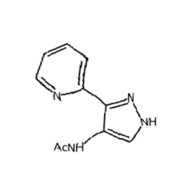 CC(=O)Nc1c[nH]nc1-c1ccccn1